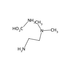 CN(C)CCN.NC(=O)O